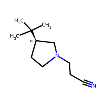 CC(C)(C)[C@@H]1CCN(CCC#N)C1